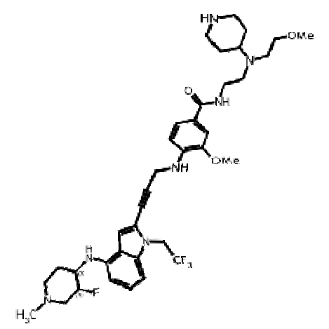 COCCN(CCNC(=O)c1ccc(NCC#Cc2cc3c(N[C@@H]4CCN(C)C[C@@H]4F)cccc3n2CC(F)(F)F)c(OC)c1)C1CCNCC1